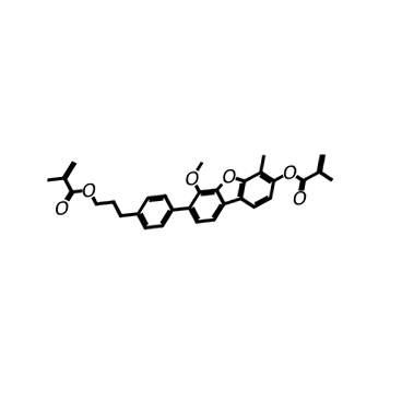 C=C(C)C(=O)OCCCc1ccc(-c2ccc3c(oc4c(C)c(OC(=O)C(=C)C)ccc43)c2OC)cc1